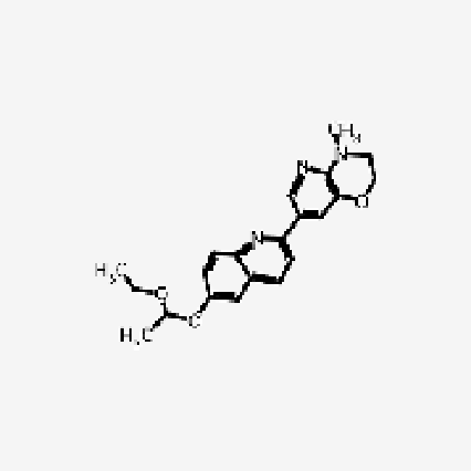 CCOC(C)Oc1ccc2nc(-c3cnc4c(c3)OCCN4C)ccc2c1